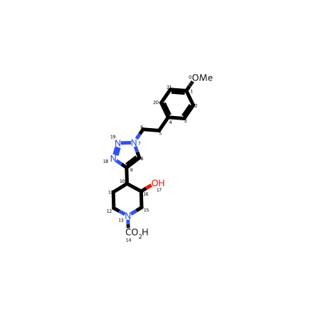 COc1ccc(CCn2cc(C3CCN(C(=O)O)CC3O)nn2)cc1